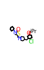 CC(C)Oc1ccc(Cl)c(CC2CCN(CC3CN(c4ccccc4)C(=O)S3)CC2)c1